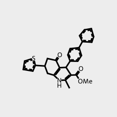 COC(=O)C1=C(C)NC2=C(C(=O)CC(c3cccs3)C2)C1c1ccc(-c2ccccc2)cc1